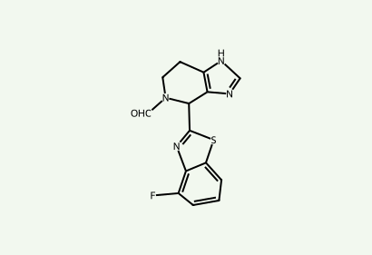 O=CN1CCc2[nH]cnc2C1c1nc2c(F)cccc2s1